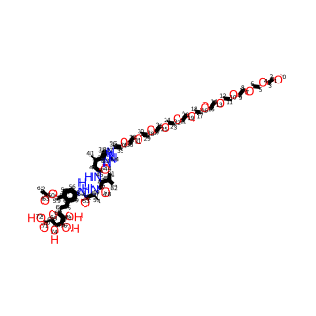 COCCOCCOCCOCCOCCOCCOCCOCCOCCOCCOCCOCCn1cc([C@H](C)CC(=O)N[C@H](C(=O)N[C@@H](C)C(=O)Nc2ccc(COC(C)=O)c(CC[C@@H]3O[C@H](C(=O)O)[C@@H](O)[C@H](O)[C@H]3O)c2)C(C)C)nn1